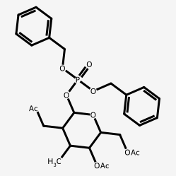 CC(=O)CC1C(OP(=O)(OCc2ccccc2)OCc2ccccc2)OC(COC(C)=O)C(OC(C)=O)C1C